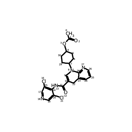 CC(=O)OC1CCC(N2C=C(C(=O)Nc3c(Cl)cncc3Cl)Cc3cccnc32)CC1